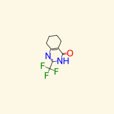 O=c1[nH]c(C(F)(F)F)nc2c1CCCC2